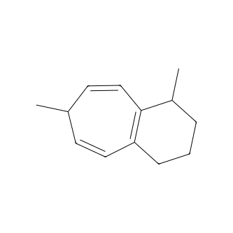 CC1C=CC2=C(C=C1)C(C)CCC2